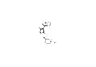 CC(=O)NC1CCCC(C(=O)Nc2cc(-c3cnn4c3NCCC4)c(Cl)cn2)C1